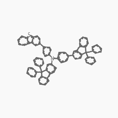 c1ccc(C2(c3ccccc3)c3ccccc3-c3cc(-c4ccc(N(c5ccc(-c6ccc7sc8ccccc8c7c6)cc5)c5ccc6c(c5)C(c5ccccc5)(c5ccccc5)c5ccccc5-6)cc4)ccc32)cc1